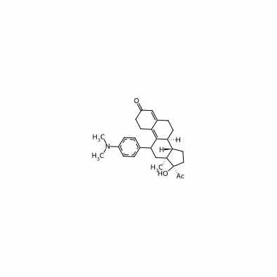 CC(=O)[C@@]1(O)CC[C@H]2[C@@H]3CCC4=CC(=O)CCC4=C3C(c3ccc(N(C)C)cc3)C[C@@]21C